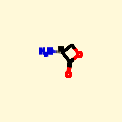 N[C@@H]1COC1=O